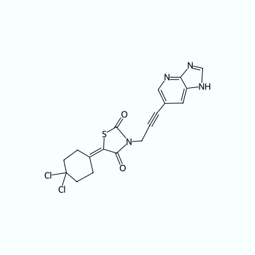 O=C1SC(=C2CCC(Cl)(Cl)CC2)C(=O)N1CC#Cc1cnc2nc[nH]c2c1